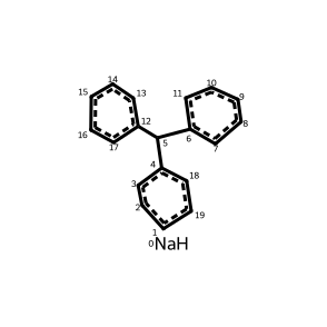 [NaH].c1ccc(C(c2ccccc2)c2ccccc2)cc1